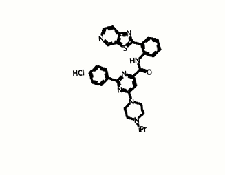 CC(C)N1CCN(c2cc(C(=O)Nc3ccccc3-c3nc4ccncc4s3)nc(-c3ccccc3)n2)CC1.Cl